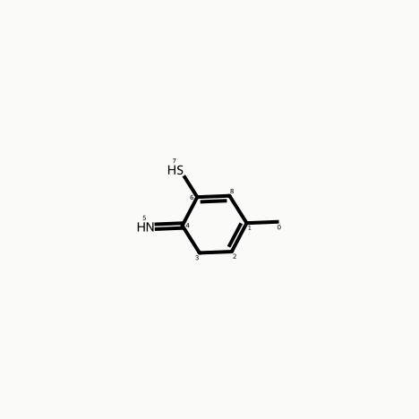 CC1=CCC(=N)C(S)=C1